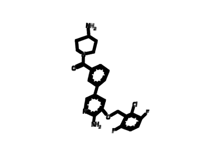 Nc1ncc(-c2cccc(C(=O)N3CCC(N)CC3)c2)cc1OCc1c(F)ccc(F)c1Cl